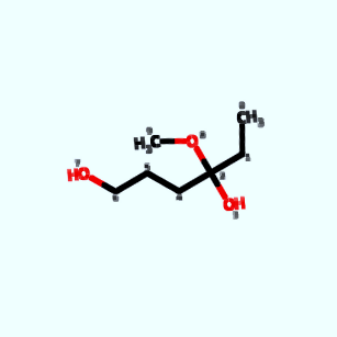 CCC(O)(CCCO)OC